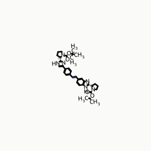 CC(C)OC(=O)N1CCC[C@H]1c1nc2cc(/C=C/c3ccc(-c4c[nH]c([C@@H]5CCCN5C(=O)OC(C)(C)C)n4)cc3)ccc2[nH]1